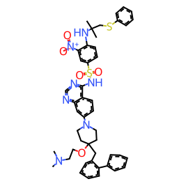 CN(C)CCOC1(Cc2ccccc2-c2ccccc2)CCN(c2ccc3c(NS(=O)(=O)c4ccc(NC(C)(C)CSc5ccccc5)c([N+](=O)[O-])c4)ncnc3c2)CC1